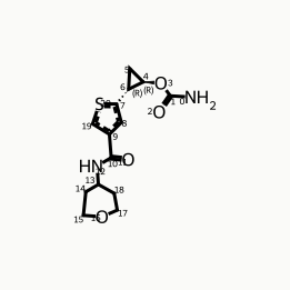 NC(=O)O[C@@H]1C[C@H]1c1cc(C(=O)NC2CCOCC2)cs1